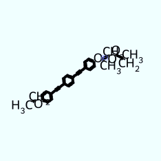 C=C(C)Oc1ccc(C#Cc2ccc(C#Cc3ccc(O/C(C)=C(\C)OC(=O)C(=C)C)cc3)cc2)cc1